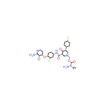 CC(C)C(N)C(=O)OCn1cc(C(=O)Nc2ccc(Oc3ccnc(N)c3Cl)c(F)c2)c(=O)c(-c2ccc(F)cc2)c1